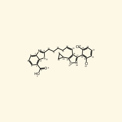 O=C(O)c1cccc2nc(CCCC/C=C\c3c(-c4c(Cl)cccc4Cl)noc3C3CC3)sc12